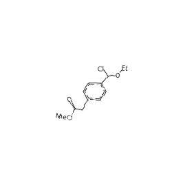 CCOC(Cl)c1ccc(CC(=O)OC)cc1